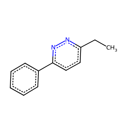 CCc1ccc(-c2ccccc2)nn1